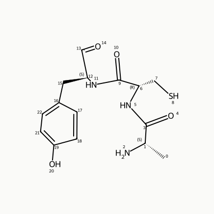 C[C@H](N)C(=O)N[C@@H](CS)C(=O)N[C@H]([C]=O)Cc1ccc(O)cc1